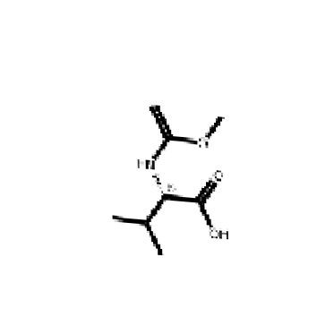 C=C(N[C@H](C(=O)O)C(C)C)OC